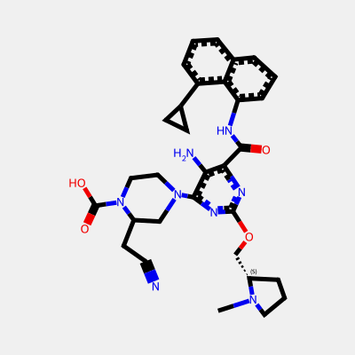 CN1CCC[C@H]1COc1nc(C(=O)Nc2cccc3cccc(C4CC4)c23)c(N)c(N2CCN(C(=O)O)C(CC#N)C2)n1